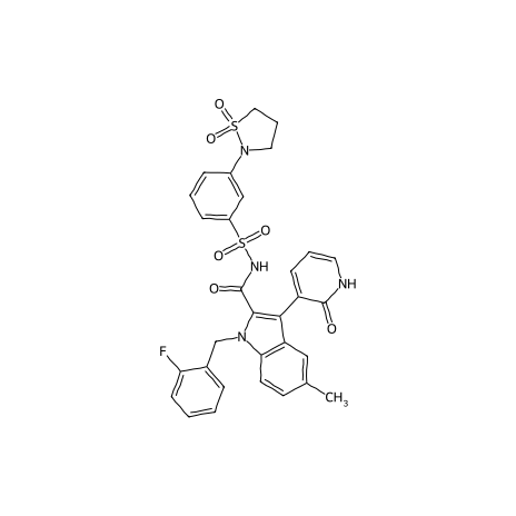 Cc1ccc2c(c1)c(-c1ccc[nH]c1=O)c(C(=O)NS(=O)(=O)c1cccc(N3CCCS3(=O)=O)c1)n2Cc1ccccc1F